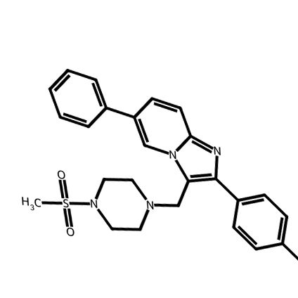 CS(=O)(=O)N1CCN(Cc2c(-c3ccc(F)cc3)nc3ccc(-c4ccccc4)cn23)CC1